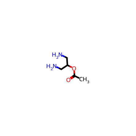 CC(=O)OC(CN)CN